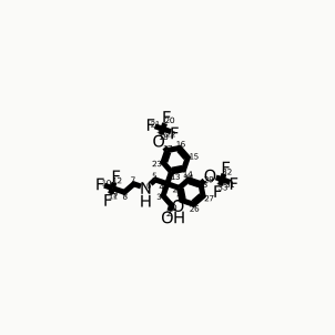 O=C(O)CC(CNCCC(F)(F)F)(c1cccc(OC(F)(F)F)c1)c1cccc(OC(F)(F)F)c1